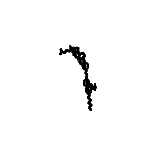 CCCCCCCCOC[C@@H](CN(C)C)OCCCCCCO[C@H]1CC[C@@]2(C)C(=CCC3C2CC[C@@]2(C)C3CC[C@@H]2[C@H](C)CCCC(C)C)C1